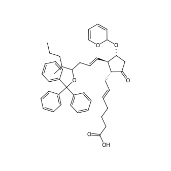 CCCC(C)C(C/C=C/[C@H]1[C@H](OC2C=CC=CO2)CC(=O)[C@@H]1CC=CCCCC(=O)O)OC(c1ccccc1)(c1ccccc1)c1ccccc1